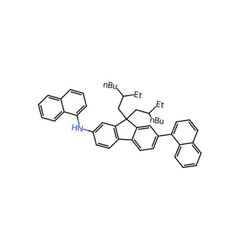 CCCCC(CC)CC1(CC(CC)CCCC)c2cc(Nc3cccc4ccccc34)ccc2-c2ccc(-c3cccc4ccccc34)cc21